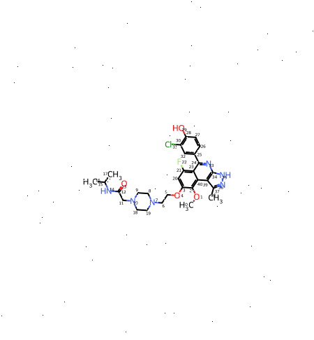 COc1c(OCCN2CCN(CC(=O)NC(C)C)CC2)cc(F)c2c(-c3ccc(O)c(Cl)c3)nc3[nH]nc(C)c3c12